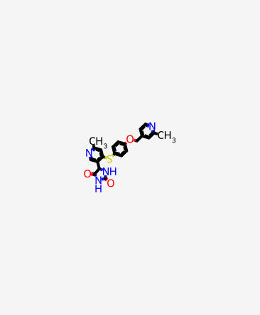 Cc1cc(COc2ccc(Sc3cc(C)ncc3C3NC(=O)NC3=O)cc2)ccn1